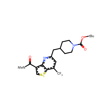 CNC(=O)c1csc2c(C(F)(F)F)cc(CC3CCN(C(=O)OC(C)(C)C)CC3)nc12